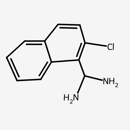 NC(N)c1c(Cl)ccc2ccccc12